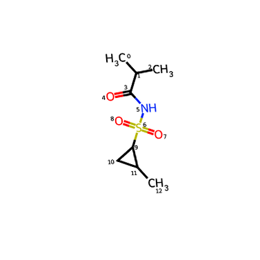 CC(C)C(=O)NS(=O)(=O)C1CC1C